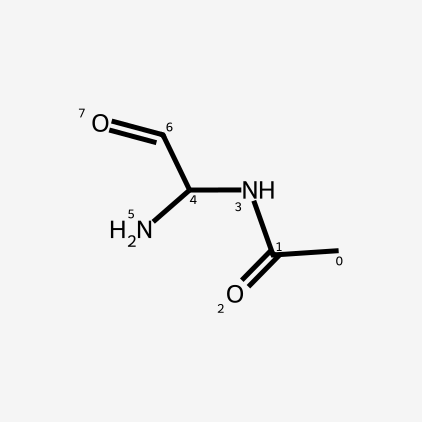 CC(=O)NC(N)C=O